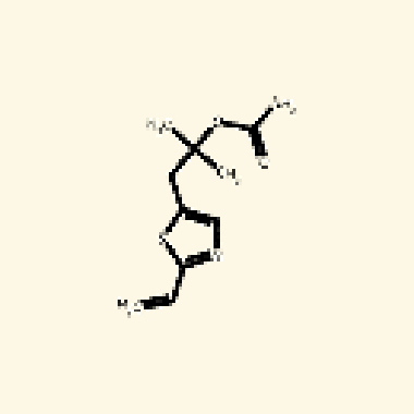 C=Cc1ncc(CC(C)(C)OC(N)=O)s1